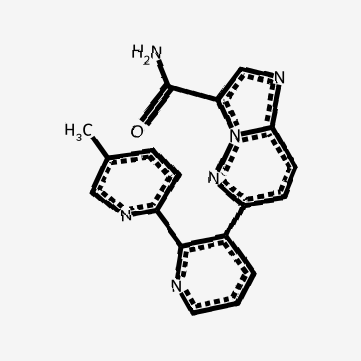 Cc1ccc(-c2ncccc2-c2ccc3ncc(C(N)=O)n3n2)nc1